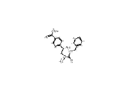 COC(=O)c1ccc(C(O)CN(C)C(=O)OCc2ccccc2)cc1